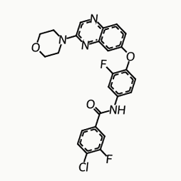 O=C(Nc1ccc(Oc2ccc3ncc(N4CCOCC4)nc3c2)c(F)c1)c1ccc(Cl)c(F)c1